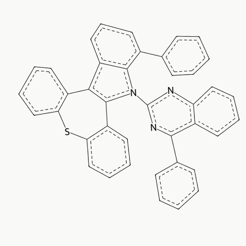 c1ccc(-c2nc(-n3c4c(c5cccc(-c6ccccc6)c53)-c3ccccc3Sc3ccccc3-4)nc3ccccc23)cc1